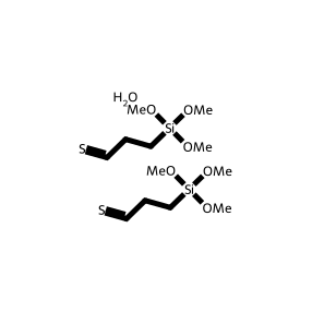 CO[Si](CCC=S)(OC)OC.CO[Si](CCC=S)(OC)OC.O